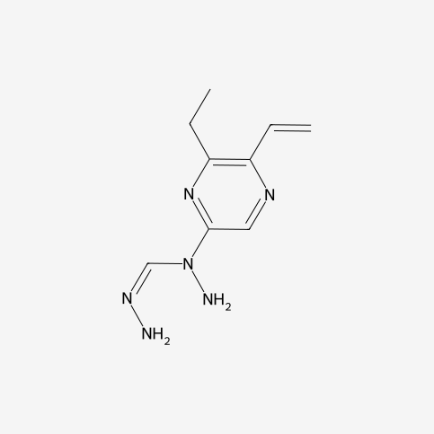 C=Cc1ncc(N(N)/C=N\N)nc1CC